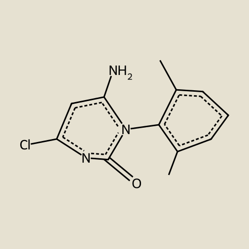 Cc1cccc(C)c1-n1c(N)cc(Cl)nc1=O